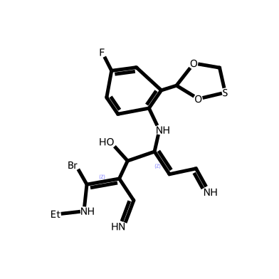 CCN/C(Br)=C(\C=N)C(O)/C(=C/C=N)Nc1ccc(F)cc1C1OCSO1